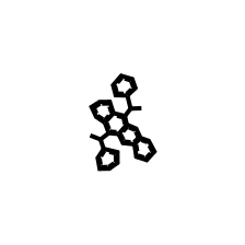 CC(c1ccccc1)c1c2ccccc2c(C(C)c2ccccc2)c2cc3ccccc3cc12